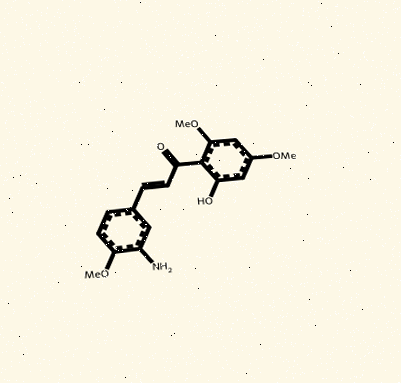 COc1cc(O)c(C(=O)/C=C/c2ccc(OC)c(N)c2)c(OC)c1